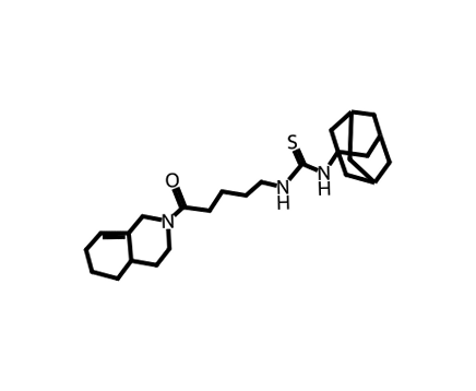 O=C(CCCCNC(=S)NC12CC3CC(CC(C3)C1)C2)N1CCC2CCCC=C2C1